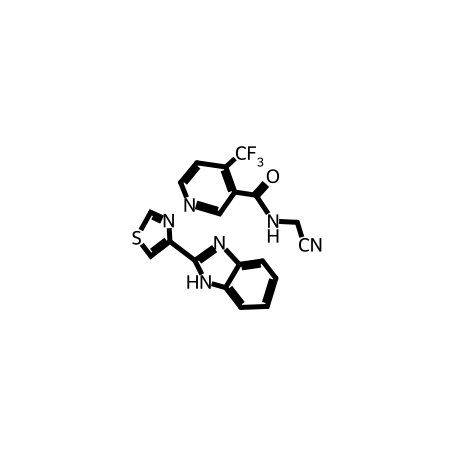 N#CCNC(=O)c1cnccc1C(F)(F)F.c1ccc2[nH]c(-c3cscn3)nc2c1